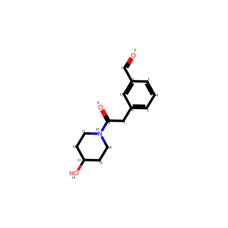 O=Cc1cccc(CC(=O)N2CCC(O)CC2)c1